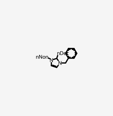 CCCCCCCCCCC1N(CCCCCCCCC)C=CN1Cc1ccccc1